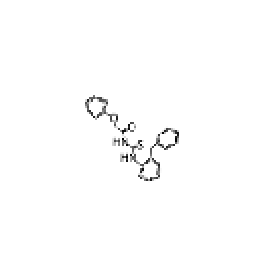 O=C(COc1ccccc1)NC(=S)Nc1ccccc1Cc1ccccc1